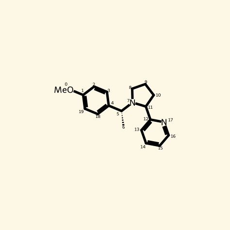 COc1ccc([C@@H](C)N2CCCC2c2ccccn2)cc1